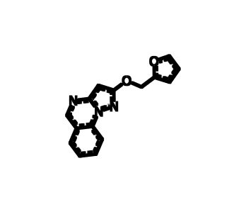 c1coc(COc2cc3ncc4ccccc4n3n2)c1